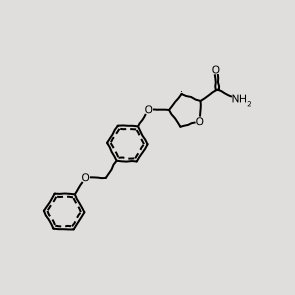 NC(=O)C1[CH]C(Oc2ccc(COc3ccccc3)cc2)CO1